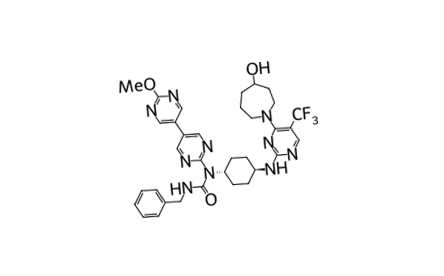 COc1ncc(-c2cnc(N(C(=O)NCc3ccccc3)[C@H]3CC[C@H](Nc4ncc(C(F)(F)F)c(N5CCCC(O)CC5)n4)CC3)nc2)cn1